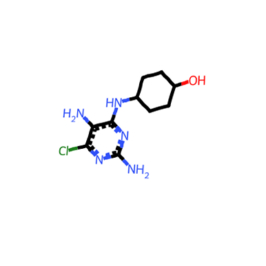 Nc1nc(Cl)c(N)c(NC2CCC(O)CC2)n1